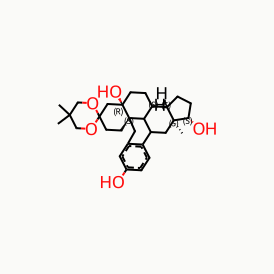 CC1(C)COC2(CC[C@@]34Cc5cc(O)ccc5C5C[C@]6(C)[C@@H](O)CC[C@H]6[C@H](CC[C@@]3(O)C2)C54)OC1